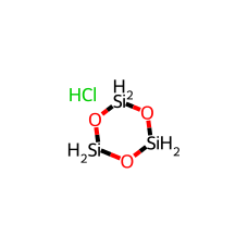 Cl.O1[SiH2]O[SiH2]O[SiH2]1